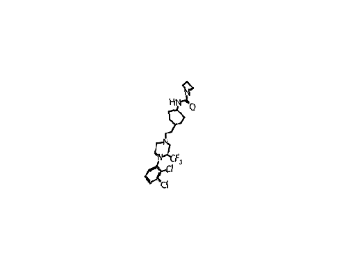 O=C(NC1CCC(CCN2CCN(c3cccc(Cl)c3Cl)C(C(F)(F)F)C2)CC1)N1CCC1